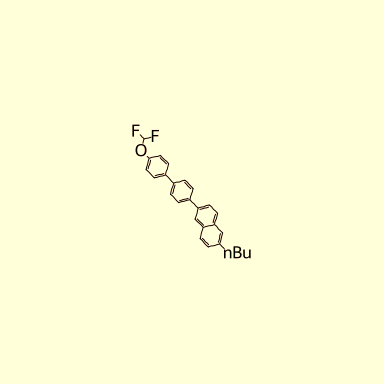 CCCCc1ccc2cc(-c3ccc(-c4ccc(OC(F)F)cc4)cc3)ccc2c1